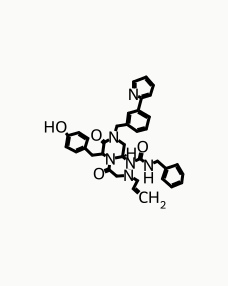 C=CCN1CC(=O)N2C(Cc3ccc(O)cc3)C(=O)N(Cc3cccc(-c4ccccn4)c3)C[C@@H]2N1C(=O)NCc1ccccc1